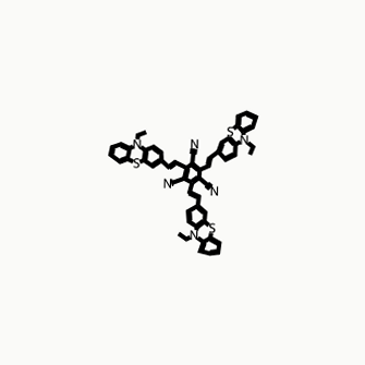 CCN1c2ccccc2Sc2cc(/C=C/c3c(C#N)c(/C=C/c4ccc5c(c4)Sc4ccccc4N5CC)c(C#N)c(/C=C/c4ccc5c(c4)Sc4ccccc4N5CC)c3C#N)ccc21